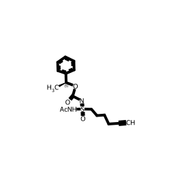 C#CCCCCS(=O)(=NC(=O)O[C@@H](C)c1ccccc1)NC(C)=O